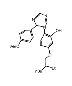 CCCCC(CC)COc1ccc(N2C=NC=NC2c2ccc(OC)cc2)c(O)c1